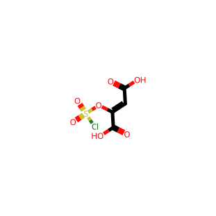 O=C(O)/C=C(\OS(=O)(=O)Cl)C(=O)O